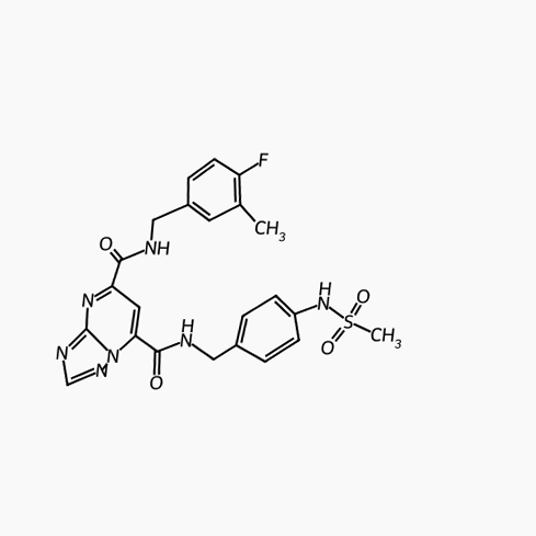 Cc1cc(CNC(=O)c2cc(C(=O)NCc3ccc(NS(C)(=O)=O)cc3)n3ncnc3n2)ccc1F